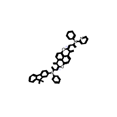 C=C1/C(=C\C(=C)N(C2=CCCC=C2)c2ccccn2)Oc2ccc3c4c(ccc1c24)O/C(=C/C(=C)N(c1ccccc1)c1ccc2c(c1)C(C)(C)c1ccccc1-2)C3=C